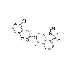 CC1c2cccc(S(C)(=O)=NC#N)c2CCN1C(=O)Cc1c(Cl)cccc1Cl